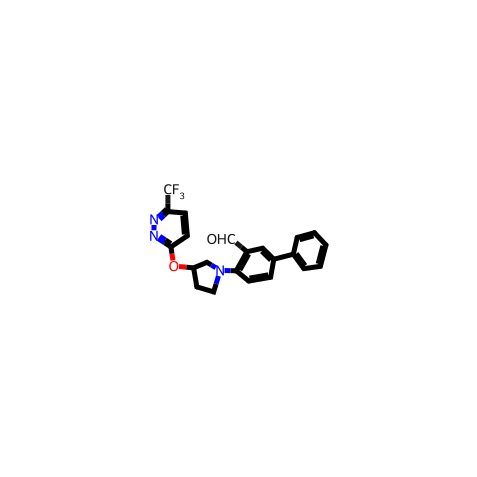 O=Cc1cc(-c2ccccc2)ccc1N1CCC(Oc2ccc(C(F)(F)F)nn2)C1